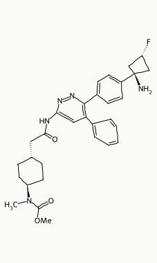 COC(=O)N(C)[C@H]1CC[C@H](CC(=O)Nc2cc(-c3ccccc3)c(-c3ccc([C@]4(N)C[C@H](F)C4)cc3)nn2)CC1